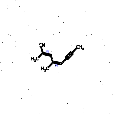 CC#C/C=C(C)\C=C(/C)C#N